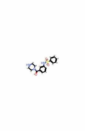 O=C(c1cccc(NS(=O)(=O)c2ccccc2)c1)N1CCNCC1